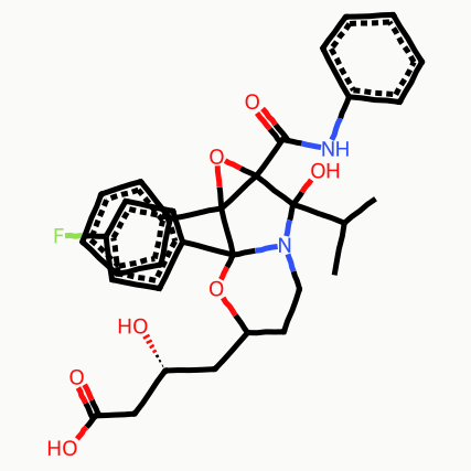 CC(C)C1(O)N2CCC(C[C@@H](O)CC(=O)O)OC2(c2ccc(F)cc2)C2(c3ccccc3)OC12C(=O)Nc1ccccc1